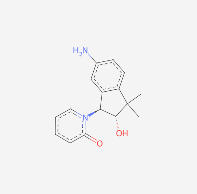 CC1(C)c2ccc(N)cc2[C@H](n2ccccc2=O)[C@H]1O